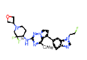 COc1nc(N[C@@H]2CCN(C3COC3)CC2(F)F)nn2ccc(-c3ccc4ncn(CCF)c4c3)c12